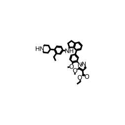 CCOC(=O)c1cnn(-c2cc(-c3cccc4c3C(Nc3ccc(C5CCNCC5)c(CC)c3)CC4)ccc2OC)c1OC